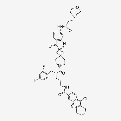 O=C(CCN1CCOCC1)Nc1ccc2c(=O)n(CC3(O)CCN(C(=O)C(CCCNC(=O)c4ccc5c(Cl)c6c(nc5c4)CCCC6)Cc4ccc(F)cc4F)CC3)cnc2c1